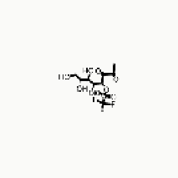 CC(=O)C(=O)[C@@H](OS(=O)(=O)C(F)(F)F)[C@@H](O)[C@H](O)[C@H](O)CO